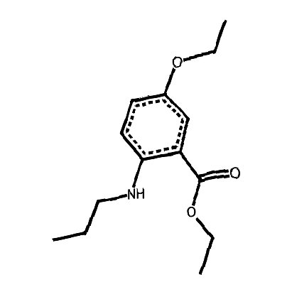 CCCNc1ccc(OCC)cc1C(=O)OCC